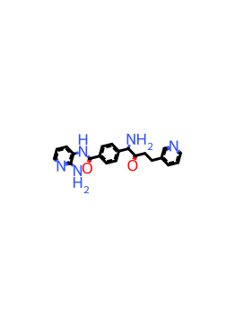 Nc1ncccc1NC(=O)c1ccc(C(N)C(=O)CCc2cccnc2)cc1